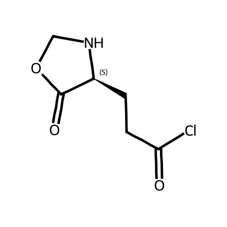 O=C(Cl)CC[C@@H]1NCOC1=O